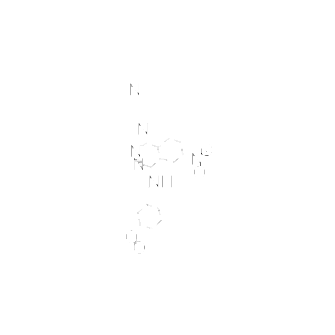 CN(C)C1CCN(c2nnc(NCc3ccc4c(c3)OOC4)c3cc([N+](=O)[O-])ccc23)CC1